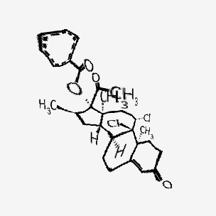 CC(=O)[C@]1(OC(=O)c2ccccc2)[C@H](C)C[C@H]2[C@@H]3CCC4=CC(=O)CC[C@]4(C)[C@@]3(Cl)[C@@H](Cl)C[C@@]21C